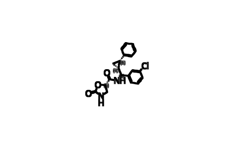 O=C1NC[C@@H](C(=O)N[C@@H](c2cccc(Cl)c2)[C@@H]2C[C@@H]2c2ccccc2)O1